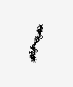 CC1(C)Oc2ccc(CNC(=O)c3cn(CCCCn4cc(C(=O)NCc5cncc(C(F)(F)F)c5)nn4)nn3)cc2O1